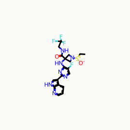 CC[S+]([O-])N1CC(Nc2nc(-c3c[nH]c4ncccc34)ncc2F)(C(=O)NCC(F)(F)F)C1